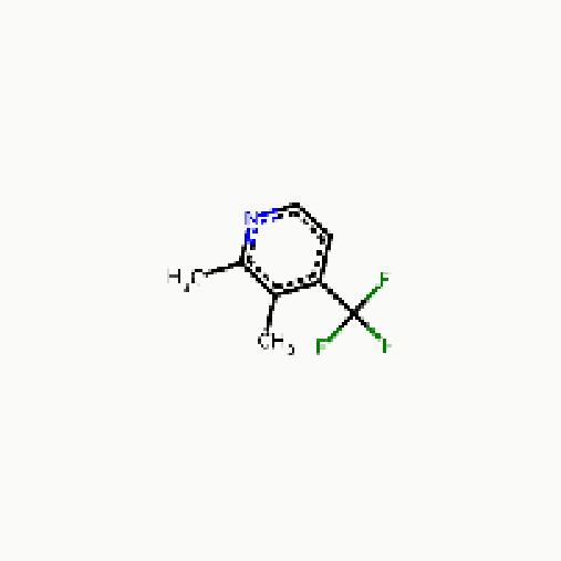 Cc1nccc(C(F)(F)F)c1C